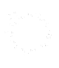 CC[C@@H]1NC(=O)C([C@H](O)[C@H](C)CC=CC(=O)O)N(C)C(=O)[C@H](C(C)C)N(C)C(=O)[C@H](CC(C)C)N(C)C(=O)[C@H](CC(C)C)N(C)C(=O)[C@H](C)NC(=O)[C@H](C)NC(=O)[C@H](CC(C)C)N(C)C(=O)[C@H](C(C)C)NC(=O)[C@H](CC(C)C)N(C)C(=O)CN(C)C1=O